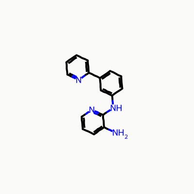 Nc1cccnc1Nc1cccc(-c2ccccn2)c1